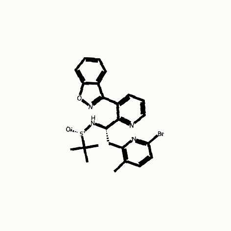 Cc1ccc(Br)nc1C[C@H](N[S@@+]([O-])C(C)(C)C)c1ncccc1-c1noc2ccccc12